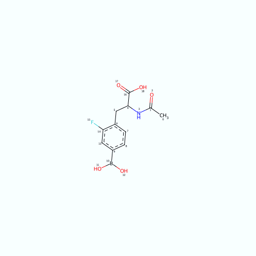 CC(=O)NC(Cc1ccc(B(O)O)cc1F)C(=O)O